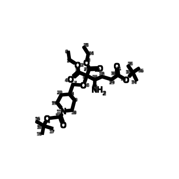 CCOC(=O)C(OCC1CCN(C(=O)OC(C)(C)C)CC1)(C(=O)OCC)C(N)CCC(=O)OC(C)(C)C